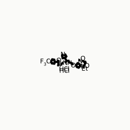 CCN1C(=O)C(C)(C)C(=O)N(C)c2cc(OCCCC(NCCN(C)C(=O)c3ccc(C(F)(F)F)cc3)c3ccncc3)ccc21.Cl.Cl